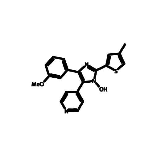 COc1cccc(-c2nc(-c3cc(C)cs3)n(O)c2-c2ccncc2)c1